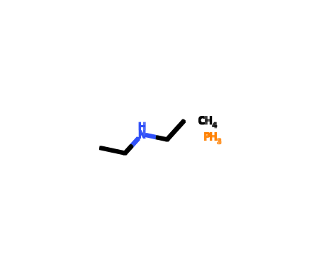 C.CCNCC.P